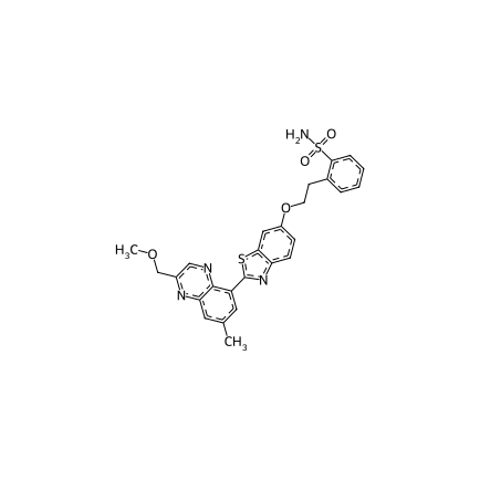 COCc1cnc2c(-c3nc4ccc(OCCc5ccccc5S(N)(=O)=O)cc4s3)cc(C)cc2n1